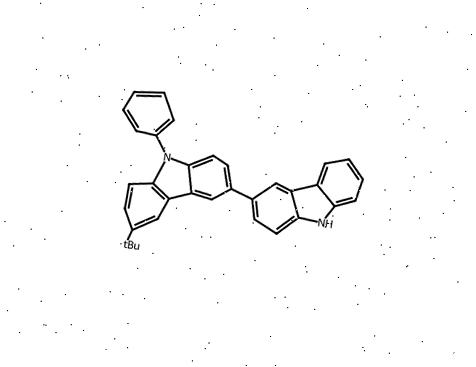 CC(C)(C)c1ccc2c(c1)c1cc(-c3ccc4[nH]c5ccccc5c4c3)ccc1n2-c1ccccc1